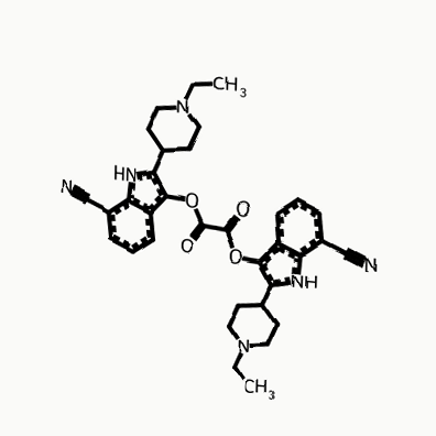 CCN1CCC(c2[nH]c3c(C#N)cccc3c2OC(=O)C(=O)Oc2c(C3CCN(CC)CC3)[nH]c3c(C#N)cccc23)CC1